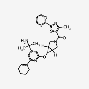 Cc1nc(-c2ncccn2)sc1C(=O)N1C[C@@H]2C(Oc3cc(C(C)(C)N)cc(C4=CCCCC4)n3)[C@@H]2C1